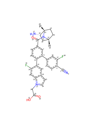 N#Cc1ccc(-c2cc(C(=O)N3[C@@H]4CC[C@H]3[C@@H](N)C4)ccc2-c2cc3ccn(CC(=O)O)c3cc2F)cc1F